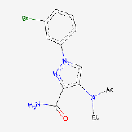 CCN(C(C)=O)c1cn(-c2cccc(Br)c2)nc1C(N)=O